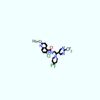 COc1ccc2c(C(=O)NCC(c3cnc(C(F)(F)F)nc3)N3CCC(F)(F)CC3)c(Cl)ccc2n1